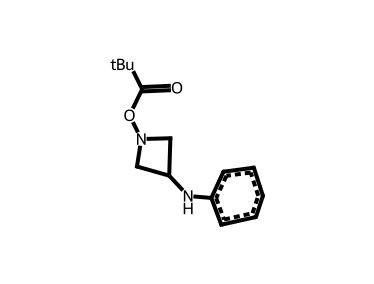 CC(C)(C)C(=O)ON1CC(Nc2ccccc2)C1